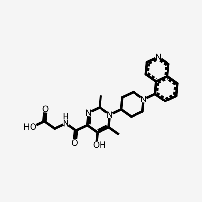 CC1=C(O)C(C(=O)NCC(=O)O)=NC(C)N1C1CCN(c2cccc3cnccc23)CC1